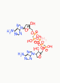 BP(=O)(OP(=O)(O)CP(=O)(O)OCC1O[C@@H](n2cnc3c(N)ncnc32)C[C@H]1O)OP(=O)(O)CP(=O)(O)OC[C@H]1OCC(n2cnc3c(N)ncnc32)C1O